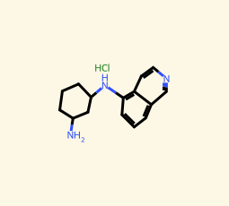 Cl.NC1CCCC(Nc2cccc3cnccc23)C1